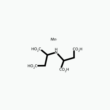 O=C(O)CC(NC(CC(=O)O)C(=O)O)C(=O)O.[Mn]